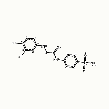 NS(=O)(=O)c1ccc(NC(=O)CNc2ccc(F)c(F)c2)cc1